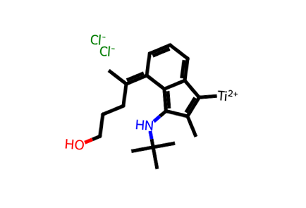 CC1=[C]([Ti+2])c2cccc(=C(C)CCCO)c2=C1NC(C)(C)C.[Cl-].[Cl-]